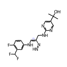 CC(C)(O)c1cnc(NC/C(=C/Nc2ccc(F)c(C(F)F)c2)N=N)nc1